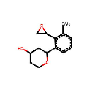 COc1cccc(C2CC(O)CCO2)c1C1CO1